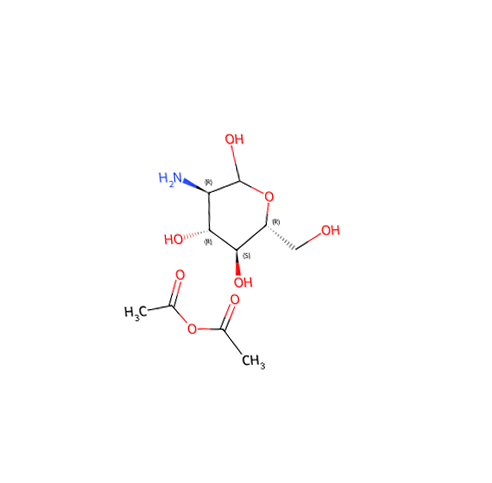 CC(=O)OC(C)=O.N[C@H]1C(O)O[C@H](CO)[C@@H](O)[C@@H]1O